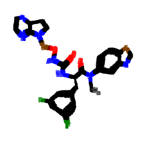 CN(C(=O)[C@H](Cc1cc(F)cc(F)c1)NC(=O)NOSN1CCc2nccnc21)c1ccc2scnc2c1